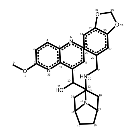 COc1ccc2nccc(C(O)CN3C4CCC3CC(NCc3ccc5c(c3)OCO5)C4)c2n1